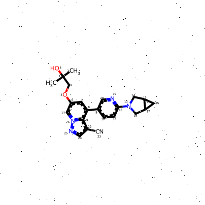 CC(C)(O)COc1cc(-c2ccc(N3CC4CC4C3)nc2)c2c(C#N)cnn2c1